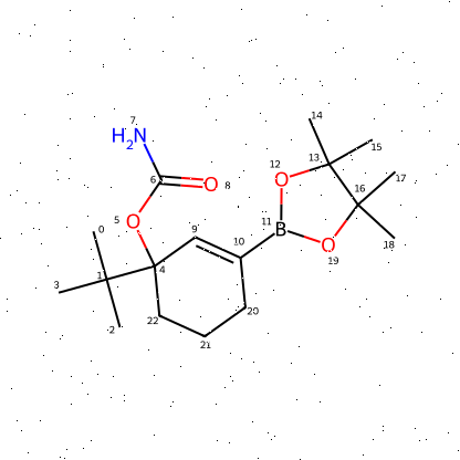 CC(C)(C)C1(OC(N)=O)C=C(B2OC(C)(C)C(C)(C)O2)CCC1